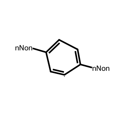 CCCCCCCCCc1[c]cc(CCCCCCCCC)cc1